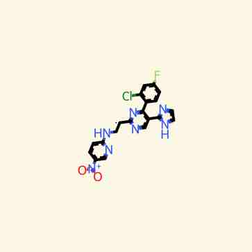 O=[N+]([O-])c1ccc(NC[CH]c2ncc(-c3ncc[nH]3)c(-c3ccc(F)cc3Cl)n2)nc1